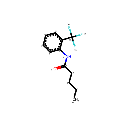 CCCCC(=O)Nc1ccccc1C(F)(F)F